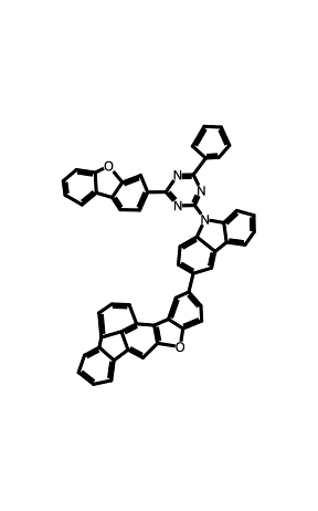 c1ccc(-c2nc(-c3ccc4c(c3)oc3ccccc34)nc(-n3c4ccccc4c4cc(-c5ccc6oc7cc8c9c(cccc9c7c6c5)-c5ccccc5-8)ccc43)n2)cc1